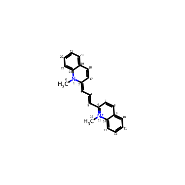 CN1/C(=C/C=C/c2ccc3ccccc3[n+]2C)C=Cc2ccccc21